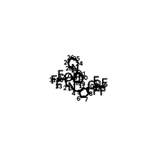 OC(CN(Cc1cccc(OC(F)(F)C(F)F)c1)c1cccc(N2CCCCC2)c1)C(F)(F)F